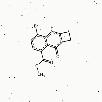 COC(=O)c1ccc(Br)c2[nH]c3c(c(=O)c12)CC3